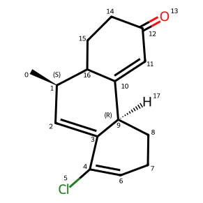 C[C@@H]1C=C2C(Cl)=CCC[C@@H]2C2=CC(=O)CCC21